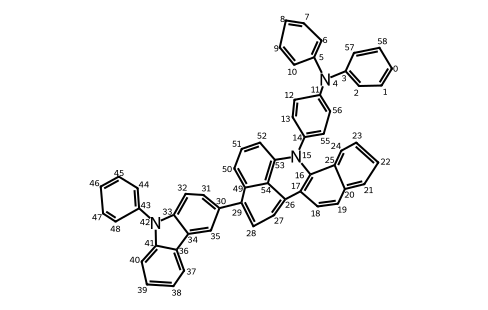 c1ccc(N(c2ccccc2)c2ccc(N3c4c(ccc5ccccc45)-c4ccc(-c5ccc6c(c5)c5ccccc5n6-c5ccccc5)c5cccc3c45)cc2)cc1